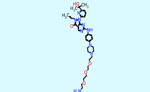 C=CCn1c(=O)c2cnc(Nc3ccc(N4CCN(CCOCCOCCOCCN)CC4)cc3)nc2n1-c1cccc(C(C)(C)O)n1